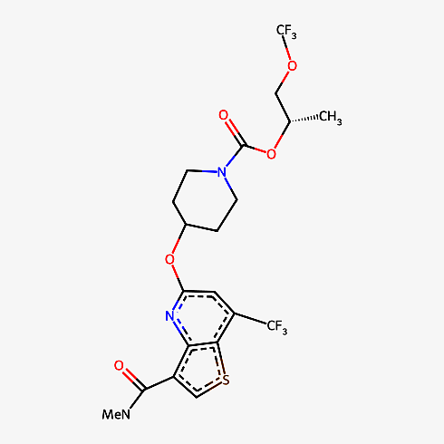 CNC(=O)c1csc2c(C(F)(F)F)cc(OC3CCN(C(=O)O[C@@H](C)COC(F)(F)F)CC3)nc12